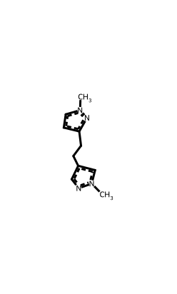 Cn1cc(CCc2ccn(C)n2)cn1